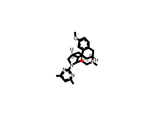 COc1ccc2c(c1)[C@]13CCN(C)[C@H](C2)[C@]12CCC1C3[C@@H](CN1c1nc(C)cc(C)n1)C2